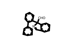 O=CC1(c2ccccc2-c2ccccc2)N=Cc2ccccc21